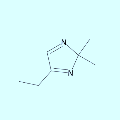 CCC1=NC(C)(C)N=C1